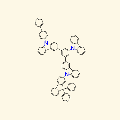 c1ccc(-c2ccc(-n3c4ccccc4c4cc(-c5cc(-c6ccc7c(c6)c6ccccc6n7-c6ccc7c(c6)C(c6ccccc6)(c6ccccc6)c6ccccc6-7)cc(-n6c7ccccc7c7ccccc76)c5)ccc43)cc2)cc1